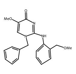 COCc1ccccc1Nc1nc(=O)c(OC)cn1Cc1ccccc1